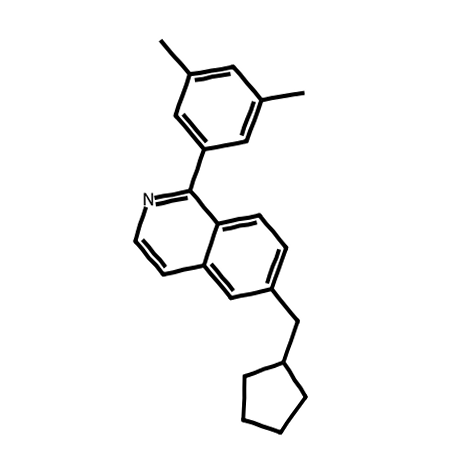 Cc1cc(C)cc(-c2nccc3cc(CC4CCCC4)ccc23)c1